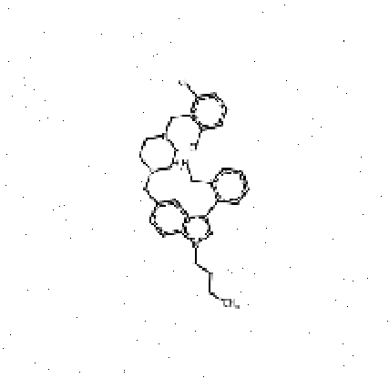 CCCCn1cc(-c2ccccc2CN)c2cc(CN3CCN(Cc4c(Cl)cccc4Cl)CC3)ccc21